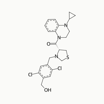 O=C([C@@H]1CSCN1Cc1cc(Cl)c(CO)cc1Cl)N1CCN(C2CC2)c2ccccc21